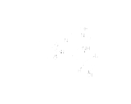 O=[N+](O)c1cnc2c(ccn2S(=O)(=O)c2ccccc2)c1N[C@@H]1C[C@@H]2C[C@H]1C[C@H]2O